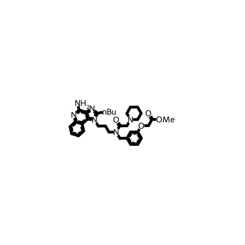 CCCCc1nc2c(N)nc3ccccc3c2n1CCCN(Cc1cccc(OCC(=O)OC)c1)C(=O)CN1CCCCC1